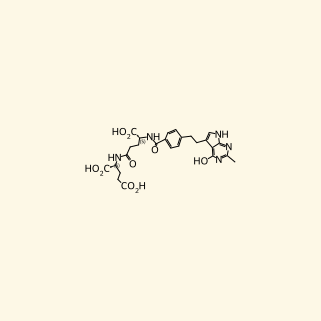 Cc1nc(O)c2c(CCc3ccc(C(=O)N[C@@H](CCC(=O)N[C@@H](CCC(=O)O)C(=O)O)C(=O)O)cc3)c[nH]c2n1